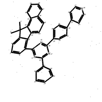 CC1(C)c2cccc(-c3nc(-c4ccccc4)nc(-c4ccc(-c5ccncc5)cc4)n3)c2-c2ccc3ccccc3c21